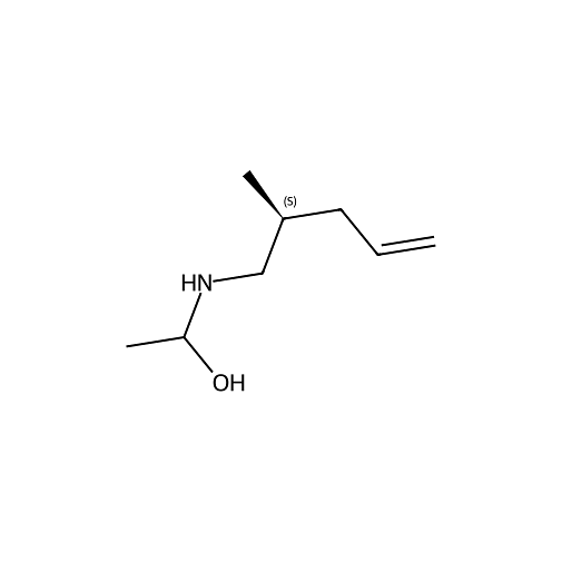 C=CC[C@H](C)CNC(C)O